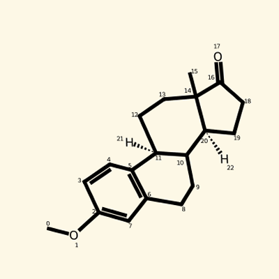 COc1ccc2c(c1)CCC1[C@@H]2CCC2(C)C(=O)CC[C@@H]12